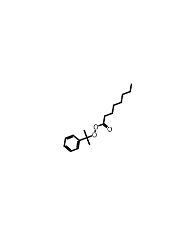 CCCCCCCC(=O)OOC(C)(C)c1ccccc1